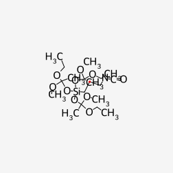 CCOC(C)(OC)O[Si](CCCN=C=O)(OC(C)(OC)OCC)OC(C)(OC)OCC